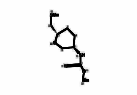 CSC[C@@H]1CC[C@@H](NC(=O)OC(C)(C)C)CO1